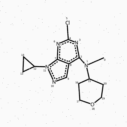 CN(c1nc(Cl)nc2c1cnn2C1CC1)C1CCOCC1